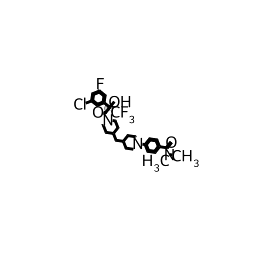 CN(C)C(=O)c1ccc(N2CCC(CC3CCN(C(=O)[C@](O)(c4cc(F)cc(Cl)c4)C(F)(F)F)CC3)CC2)cc1